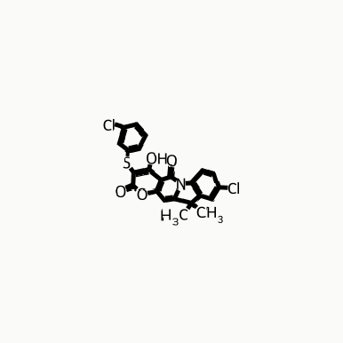 CC1(C)c2cc(Cl)ccc2-n2c1cc1oc(=O)c(Sc3cccc(Cl)c3)c(O)c1c2=O